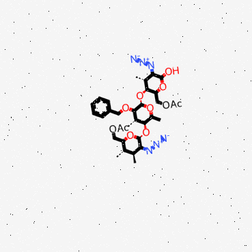 CC(=O)OCC1O[C@H](O[C@@H]2C(C)O[C@@H](O[C@@H]3C(COC(C)=O)OC(O)C(N=[N+]=[N-])[C@H]3C)C(OCc3ccccc3)[C@H]2C)C(N=[N+]=[N-])[C@@H](C)[C@@H]1C